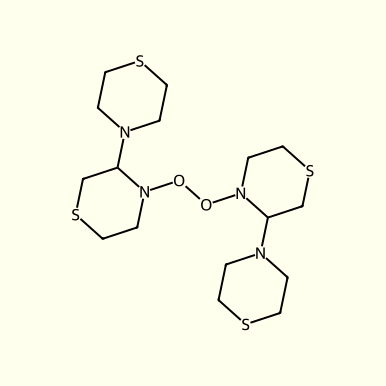 C1CN(C2CSCCN2OON2CCSCC2N2CCSCC2)CCS1